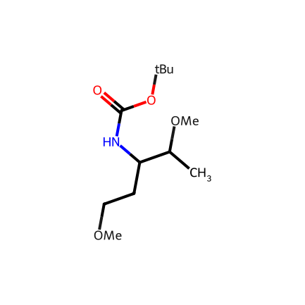 COCCC(NC(=O)OC(C)(C)C)C(C)OC